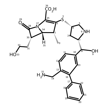 C[C@H]1C(S[C@@H]2CN[C@H](C(O)c3ccc(CN)c(-c4ccccc4)c3)C2)=C(C(=O)O)N2C(=O)[C@@H](CCO)[C@@H]12